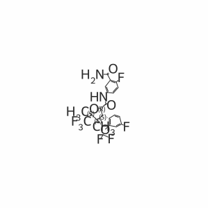 C[C@H]1[C@@H](c2ccc(F)cc2OC(F)F)[C@H](C(=O)Nc2ccc(F)c(C(N)=O)c2)O[C@]1(C)C(F)(F)F